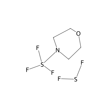 FS(F)(F)N1CCOCC1.FSF